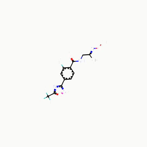 CO/N=C(\C)CNC(=O)c1ccc(-c2noc(C(F)(F)F)n2)cc1F